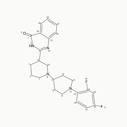 O=c1[nH]c(C2CCCN(C3CCN(c4ccc(F)cc4F)CC3)C2)nc2ccccc12